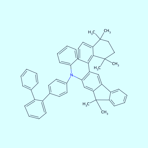 CC1(C)CCC(C)(C)c2c(-c3cc4c(cc3N(c3ccccc3)c3ccc(-c5ccccc5-c5ccccc5)cc3)C(C)(C)c3ccccc3-4)cccc21